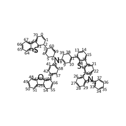 C1=CC(C2=CCC(N(C3=CC=C(c4cccc5c4sc4c5ccc5c4c4ccccc4n5-c4ccccc4)CC3)c3ccc(C4=C5Oc6ccccc6C5CC=C4)cc3)C=C2)C2Sc3ccccc3C2=C1